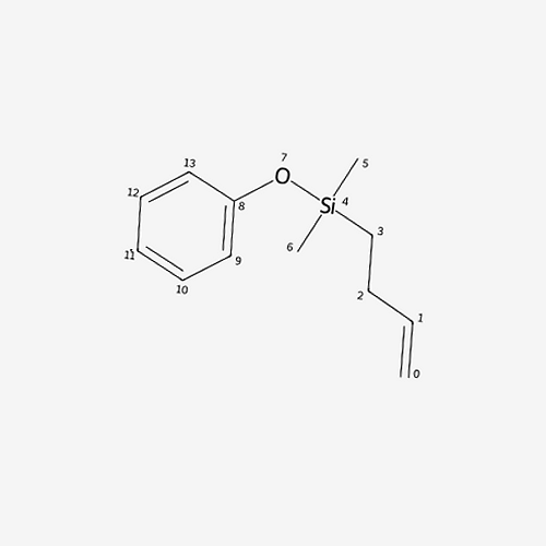 C=CCC[Si](C)(C)Oc1cc[c]cc1